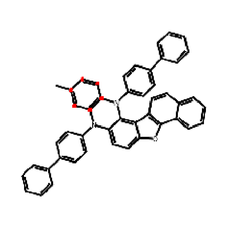 CC1C=CC(N(c2ccc(-c3ccccc3)cc2)c2c(N(c3ccccc3)c3ccc(-c4ccccc4)cc3)ccc3oc4c5ccccc5ccc4c23)=CC1